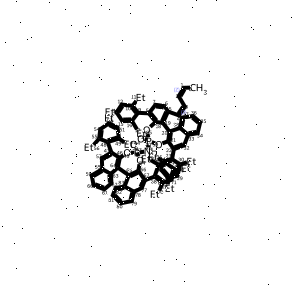 C/C=C\C=C/c1ccc(-c2c(CC)cc(CC)cc2CC)c2c1-c1c(c(-c3c(CC)cc(CC)cc3CC)cc3ccccc13)OP(=O)(NP1(=O)Oc3c(-c4c(CC)cc(CC)cc4CC)cc4ccccc4c3-c3c(c(-c4c(CC)cc(CC)cc4CC)cc4ccccc34)O1)O2